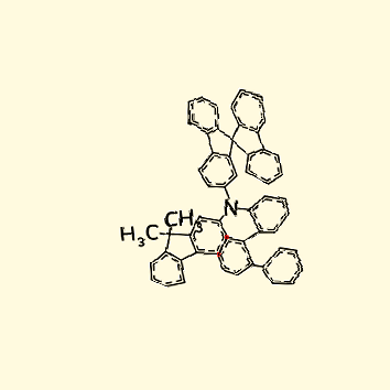 CC1(C)c2ccccc2-c2ccc(N(c3ccc4c(c3)C3(c5ccccc5-c5ccccc53)c3ccccc3-4)c3ccccc3-c3ccccc3-c3ccccc3)cc21